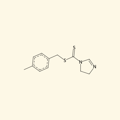 Cc1ccc(CSC(=S)N2C=NCC2)cc1